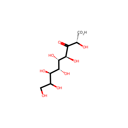 O=C(O)[C@H](O)C(=O)[C@@H](O)[C@@H](O)[C@H](O)[C@H](O)C(O)CO